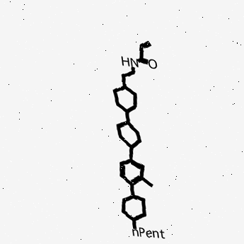 C=CC(=O)NCCC1CCC(C2CCC(c3ccc(C4CCC(CCCCC)CC4)c(C)c3)CC2)CC1